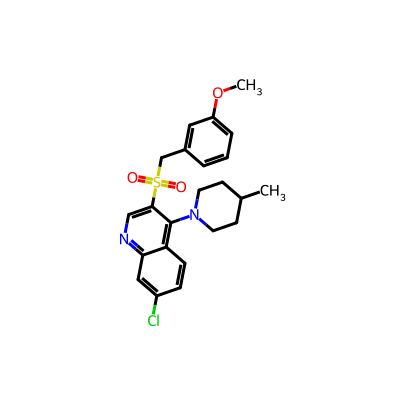 COc1cccc(CS(=O)(=O)c2cnc3cc(Cl)ccc3c2N2CCC(C)CC2)c1